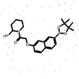 CCCC1CCCCN1C(=O)COc1ccc2ccc(B3OC(C)(C)C(C)(C)O3)cc2c1